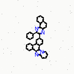 c1ccc(-c2nc3c(ccc4ccccc43)nc2-c2ccc3c(c2)c2ccccc2c2nc4ccccn4c32)cc1